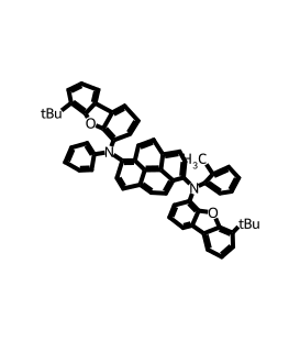 Cc1ccccc1N(c1ccc2ccc3c(N(c4ccccc4)c4cccc5c4oc4c(C(C)(C)C)cccc45)ccc4ccc1c2c43)c1cccc2c1oc1c(C(C)(C)C)cccc12